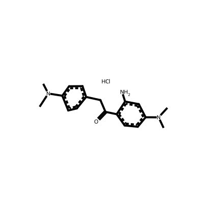 CN(C)c1ccc(CC(=O)c2ccc(N(C)C)cc2N)cc1.Cl